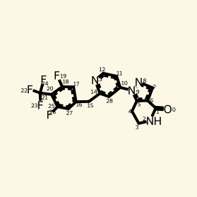 O=C1NCCc2c1cnn2-c1ccnc(Cc2cc(F)c(C(F)(F)F)c(F)c2)c1